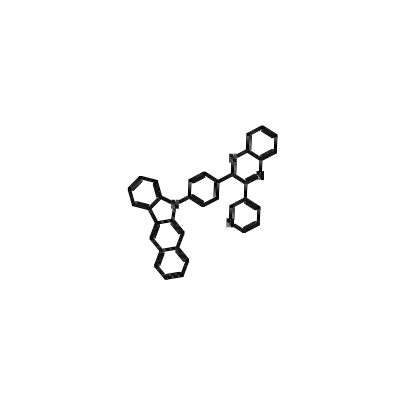 c1cncc(-c2nc3ccccc3nc2-c2ccc(-n3c4ccccc4c4cc5ccccc5cc43)cc2)c1